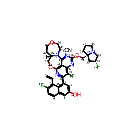 C=Cc1c(F)ccc2cc(O)cc(-c3nc4c5c(nc(OC[C@@]67CCCN6C[C@H](F)C7)nc5c3F)N3[C@@H](CCOC[C@@H]3C#N)CO4)c12